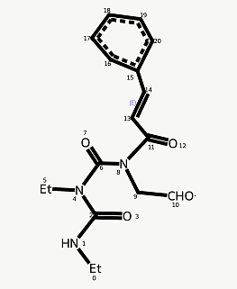 CCNC(=O)N(CC)C(=O)N(C[C]=O)C(=O)/C=C/c1ccccc1